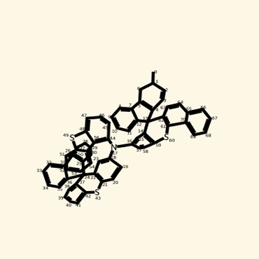 CC1C=CC2=C(C1)c1ccccc1C21c2cc(N(c3ccc4c(c3)C3(C5=C(CCC=C5)c5ccccc53)c3ccccc3S4)c3cccc4sc5ccccc5c34)ccc2Sc2c1ccc1ccccc21